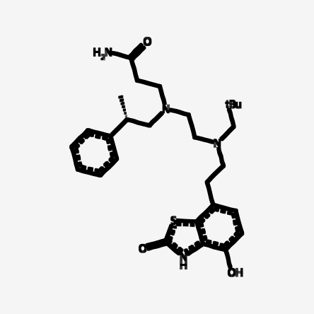 C[C@H](CN(CCC(N)=O)CCN(CCc1ccc(O)c2[nH]c(=O)sc12)CC(C)(C)C)c1ccccc1